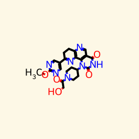 COc1ncc(C2=Nc3c(ncc4c(=O)[nH]c(=O)n(C5CCN(C(=O)CO)CC5)c34)CC2)cn1